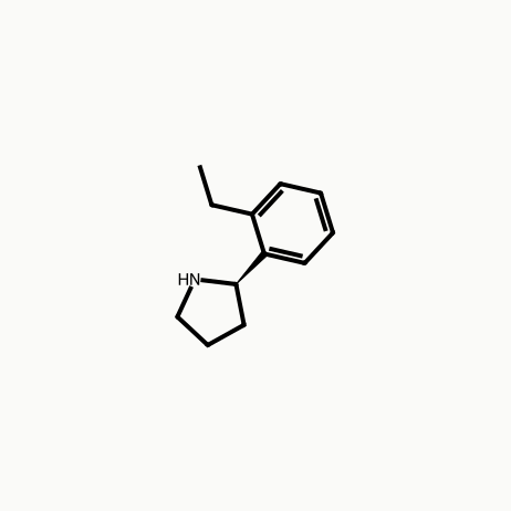 CCc1ccccc1[C@H]1CCCN1